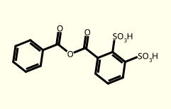 O=C(OC(=O)c1cccc(S(=O)(=O)O)c1S(=O)(=O)O)c1ccccc1